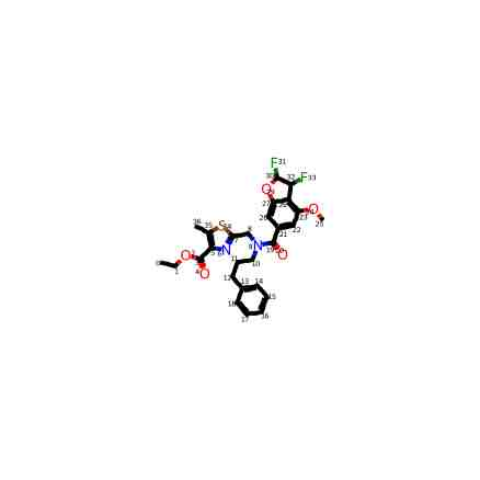 CCOC(=O)c1nc(CN(CCCc2ccccc2)C(=O)c2cc(OC)c3c(c2)OC(F)C3F)sc1C